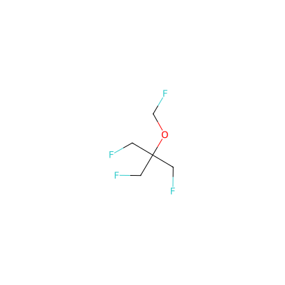 FCOC(CF)(CF)CF